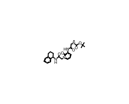 CN(CC(=O)Nc1cccn(CC(=O)NC2CCCc3ccccc32)c1=O)C(=O)OC(C)(C)C